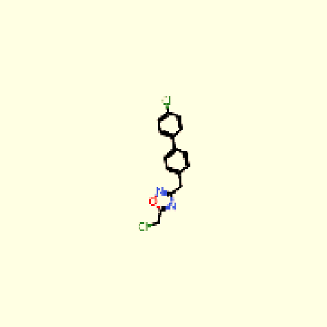 ClCc1nc(Cc2ccc(-c3ccc(Cl)cc3)cc2)no1